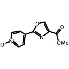 COC(=O)c1coc(-c2cc[n+]([O-])cc2)n1